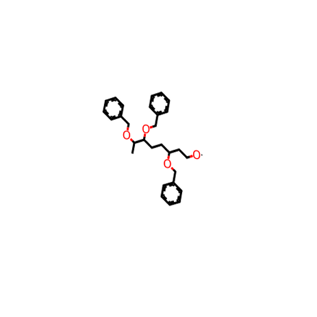 CC(OCc1ccccc1)C(CCC(CC[O])OCc1ccccc1)OCc1ccccc1